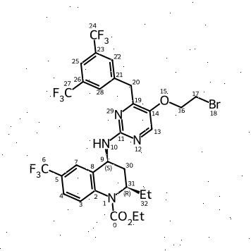 CCOC(=O)N1c2ccc(C(F)(F)F)cc2[C@@H](Nc2ncc(OCCBr)c(Cc3cc(C(F)(F)F)cc(C(F)(F)F)c3)n2)C[C@H]1CC